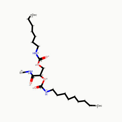 CCCCCCCCCCCCCCCCCCNC(=O)OC(COC(=O)NCCCCCCCCCCCCCCCC)C(=O)NCC